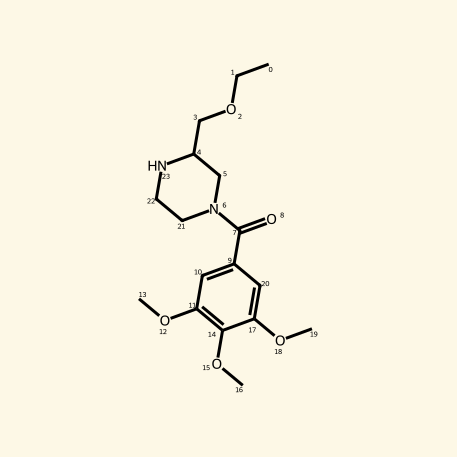 CCOCC1CN(C(=O)c2cc(OC)c(OC)c(OC)c2)CCN1